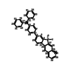 CC1(C)c2cc(-c3ccc(N(c4ccccc4)c4ccccc4)cc3)ccc2-c2cc3cccnc3cc21